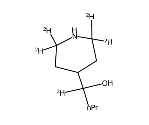 [2H]C1([2H])CC(C([2H])(O)CCC)CC([2H])([2H])N1